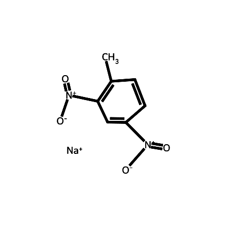 Cc1ccc([N+](=O)[O-])cc1[N+](=O)[O-].[Na+]